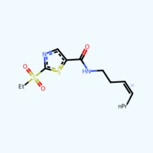 CCC/C=C\CCNC(=O)c1cnc(S(=O)(=O)CC)s1